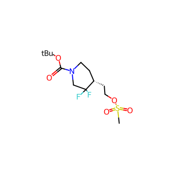 CC(C)(C)OC(=O)N1CC[C@H](CCOS(C)(=O)=O)C(F)(F)C1